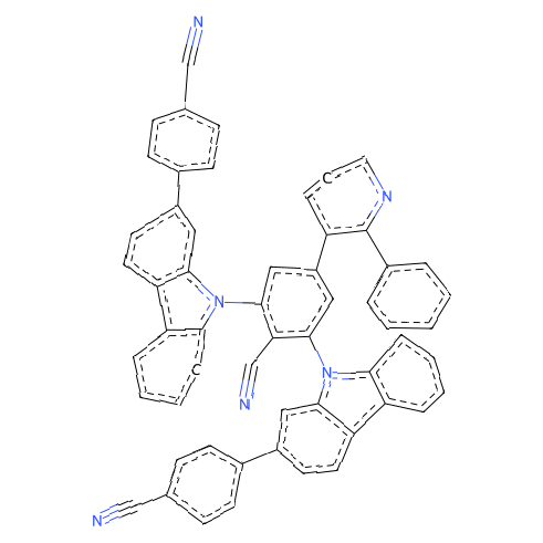 N#Cc1ccc(-c2ccc3c4ccccc4n(-c4cc(-c5cccnc5-c5ccccc5)cc(-n5c6ccccc6c6ccc(-c7ccc(C#N)cc7)cc65)c4C#N)c3c2)cc1